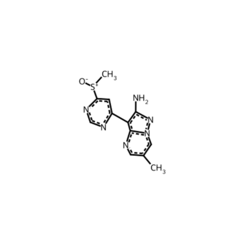 Cc1cnc2c(-c3cc([S+](C)[O-])ncn3)c(N)nn2c1